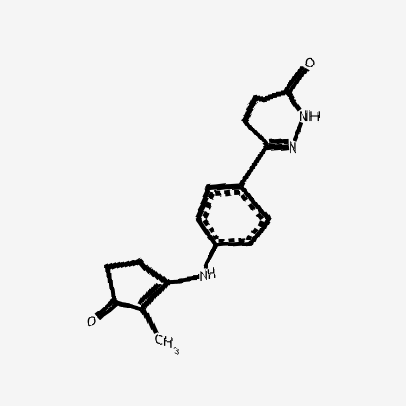 CC1=C(Nc2ccc(C3=NNC(=O)CC3)cc2)CCC1=O